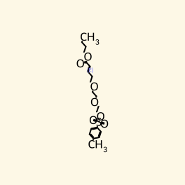 CCCCOC(=O)/C=C/CCOCCOCCOS(=O)(=O)c1ccc(C)cc1